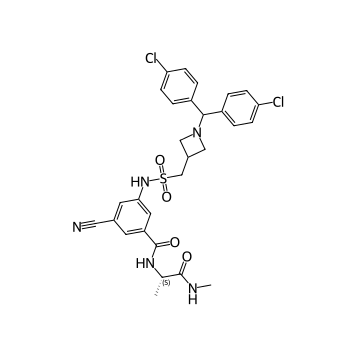 CNC(=O)[C@H](C)NC(=O)c1cc(C#N)cc(NS(=O)(=O)CC2CN(C(c3ccc(Cl)cc3)c3ccc(Cl)cc3)C2)c1